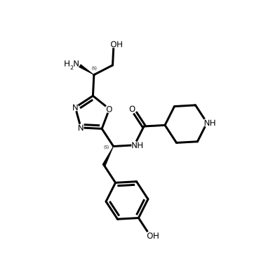 N[C@@H](CO)c1nnc([C@H](Cc2ccc(O)cc2)NC(=O)C2CCNCC2)o1